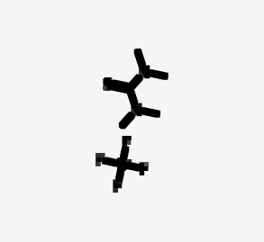 CN(C)C(=S)N(C)C.F[B-](F)(F)F